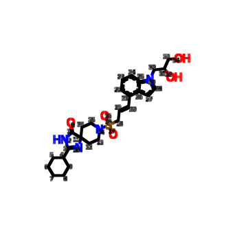 O=C1NC(C2CCCCC2)=NC12CCN(S(=O)(=O)CC=Cc1cccc3c1ccn3C[C@H](O)CO)CC2